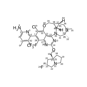 Cc1cc(N)nc(-c2c(Cl)c3c4c(nc(OC[C@@]56CCCN5C[C@H](F)C6)nc4c2F)N2C[C@@H](C)N(C)C[C@H]4C(CO3)[C@H]42)c1C(F)(F)F